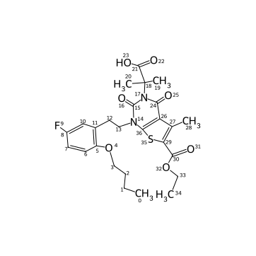 CCCCOc1ccc(F)cc1CCn1c(=O)n(C(C)(C)C(=O)O)c(=O)c2c(C)c(C(=O)OCC)sc21